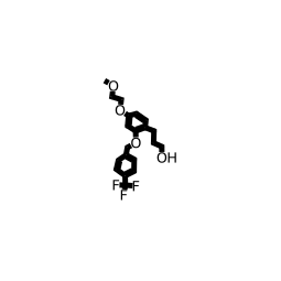 COCCOc1ccc(CCCO)c(OCc2ccc(C(F)(F)F)cc2)c1